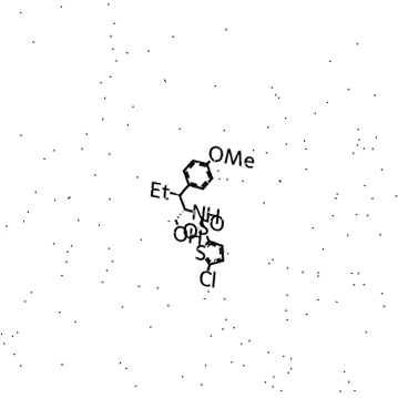 CC[C@@H](c1ccc(OC)cc1)[C@@H](CO)NS(=O)(=O)c1ccc(Cl)s1